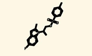 Cc1ccc(S(=O)(=O)OCC(C)n2c(C)cc3cc(F)ccc32)cc1